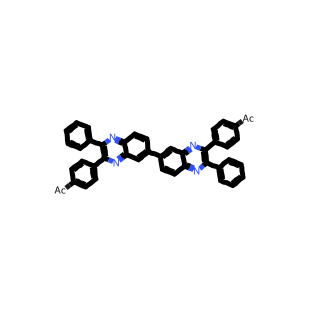 CC(=O)c1ccc(-c2nc3cc(-c4ccc5nc(-c6ccccc6)c(-c6ccc(C(C)=O)cc6)nc5c4)ccc3nc2-c2ccccc2)cc1